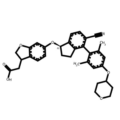 Cc1cc(OC2CCOCC2)cc(C)c1-c1c(C#N)ccc2c1CC[C@H]2Oc1ccc2c(c1)OCC2CC(=O)O